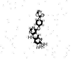 CCCNc1ccc(Nc2cc(OC3CCN(C(=O)OC(C)C)CC3)ncn2)c(C)n1